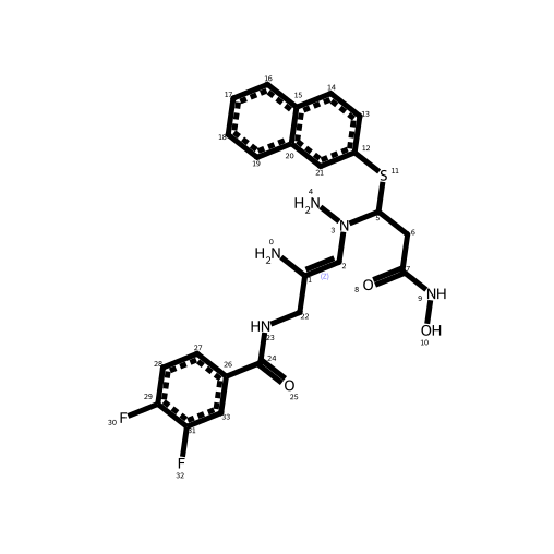 N/C(=C\N(N)C(CC(=O)NO)Sc1ccc2ccccc2c1)CNC(=O)c1ccc(F)c(F)c1